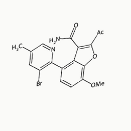 COc1ccc(-c2ncc(C)cc2Br)c2c(C(N)=O)c(C(C)=O)oc12